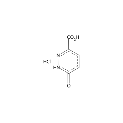 Cl.O=C(O)c1ccc(=O)[nH]n1